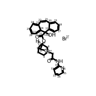 O=C(C[N+]12CCC(CC1)[C@@H](OC(=O)C1(O)c3ccccc3C=Cc3ccccc31)C2)Nc1ccccn1.[Br-]